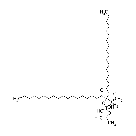 C=C(C)C([O][Ti]([OH])([OH])[O]C(C)C)(C(=O)CCCCCCCCCCCCCCCCC)C(=O)CCCCCCCCCCCCCCCCC